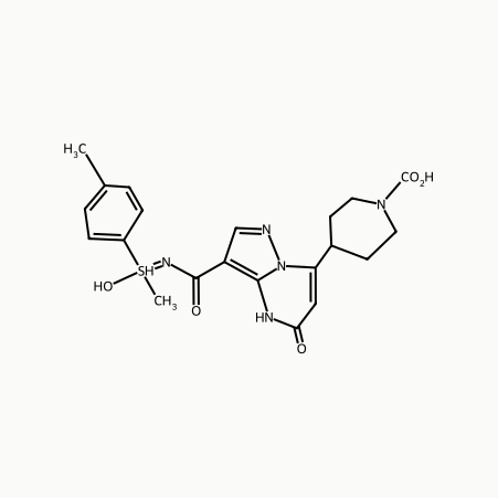 Cc1ccc([SH](C)(O)=NC(=O)c2cnn3c(C4CCN(C(=O)O)CC4)cc(=O)[nH]c23)cc1